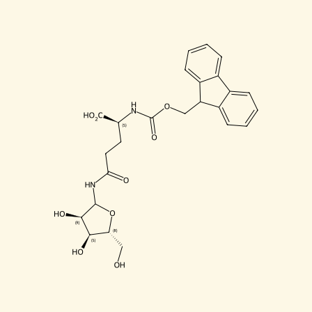 O=C(CC[C@H](NC(=O)OCC1c2ccccc2-c2ccccc21)C(=O)O)NC1O[C@H](CO)[C@@H](O)[C@H]1O